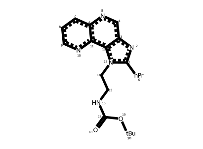 CCCc1nc2cnc3cccnc3c2n1CCNC(=O)OC(C)(C)C